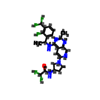 Cc1nc(NC(C)c2cccc(C(F)F)c2F)c2cc(N3CC[C@@H](NC(=O)C(F)F)C3)ncc2n1